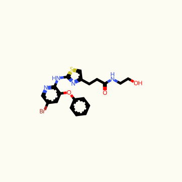 O=C(CCc1csc(Nc2ncc(Br)cc2Oc2ccccc2)n1)NCCO